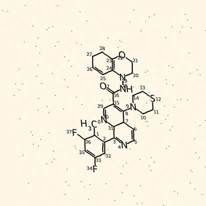 CC1C(C2=NC=CC3C(N4CCSCC4)=C(C(=O)NN4CCOC5=C4C=CCC5)C=NC23)=CC(F)=CC1F